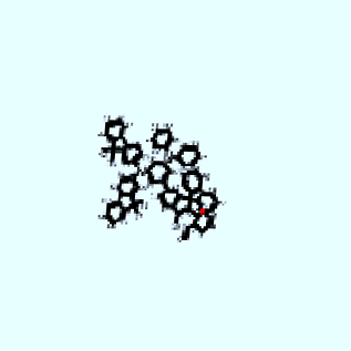 C=Cc1ccccc1C1=C(C)c2ccc(-c3cc(N(c4ccccc4)c4ccccc4)cc(N(c4ccc5c(c4)C(C)(C)c4ccccc4-5)c4ccc5c(c4)C(C)(C)c4ccccc4-5)c3)cc2C1(c1ccccc1)c1ccccc1